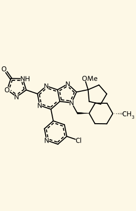 COC1(c2nc3nc(-c4noc(=O)[nH]4)nc(-c4cncc(Cl)c4)c3n2C[C@H]2CC[C@H](C)CC2)CCCC1